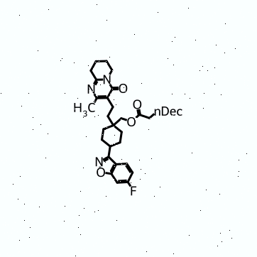 CCCCCCCCCCCC(=O)OCC1(CCc2c(C)nc3n(c2=O)CCCC3)CCC(c2noc3cc(F)ccc23)CC1